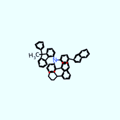 CC1(c2ccccc2)c2ccccc2-c2c(N(c3ccc(-c4ccc5ccccc5c4)cc3)c3ccccc3-c3cccc4cccc(C5CCCCC5)c34)cccc21